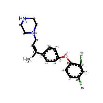 CC(=CCN1CCNCC1)c1ccc(Oc2ccc(F)cc2F)cc1